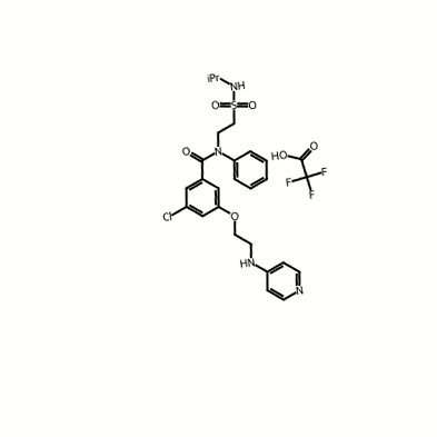 CC(C)NS(=O)(=O)CCN(C(=O)c1cc(Cl)cc(OCCNc2ccncc2)c1)c1ccccc1.O=C(O)C(F)(F)F